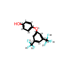 Oc1ccc(Oc2cc(C(F)(F)F)cc(C(F)(F)F)c2)cc1